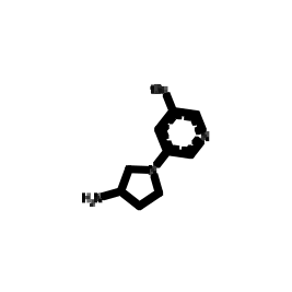 CC(C)(C)c1cncc(N2CCC(N)C2)c1